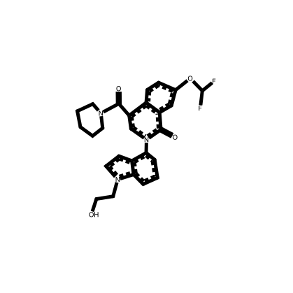 O=C(c1cn(-c2cccc3c2ccn3CCO)c(=O)c2cc(OC(F)F)ccc12)N1CCCCC1